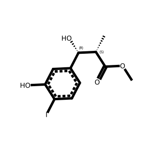 COC(=O)[C@@H](C)[C@@H](O)c1ccc(I)c(O)c1